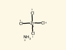 N.[Cl][Zr]([Cl])([Cl])[Cl]